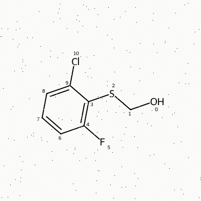 OCSc1c(F)cccc1Cl